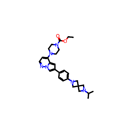 CCOC(=O)N1CCN(c2ccnn3cc(-c4ccc(N5CC6(C5)CN(C(C)C)C6)cc4)cc23)CC1